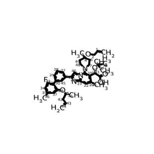 C=CCOC1(C)CCN(c2c([C@H](OC(C)(C)C)C(=O)O)c(C)cc3nc(-c4cccc(-c5c(F)cc(C)cc5O[C@@H](C)CC=C)c4)cn23)CC1